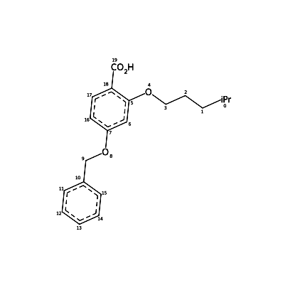 CC(C)CCCOc1cc(OCc2ccccc2)ccc1C(=O)O